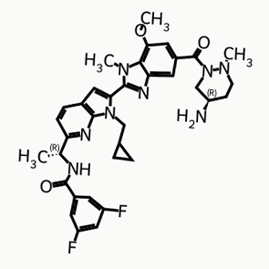 COc1cc(C(=O)N2C[C@H](N)CCN2C)cc2nc(-c3cc4ccc([C@@H](C)NC(=O)c5cc(F)cc(F)c5)nc4n3CC3CC3)n(C)c12